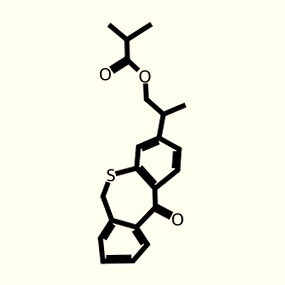 CC(C)C(=O)OCC(C)c1ccc2c(c1)SCc1ccccc1C2=O